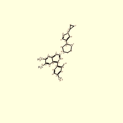 Cc1nc2nc([C@H]3CCO[C@H](c4cnn(C5CC5)c4)C3)nc(-c3ccc(C(F)(F)F)cc3F)c2nc1C